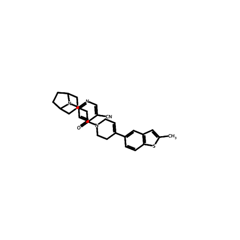 Cc1cc2cc(C3=CCN(C(=O)CN4CC5CCC(C4)N5c4ccc(C#N)cn4)CC3)ccc2s1